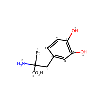 CCC(N)(Cc1ccc(O)c(O)c1)C(=O)O